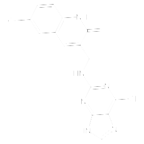 O=c1[nH]c2ccc(Cl)cc2cc1CNc1nc(Cl)c2nc[nH]c2n1